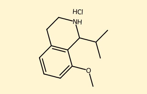 COc1cccc2c1C(C(C)C)NCC2.Cl